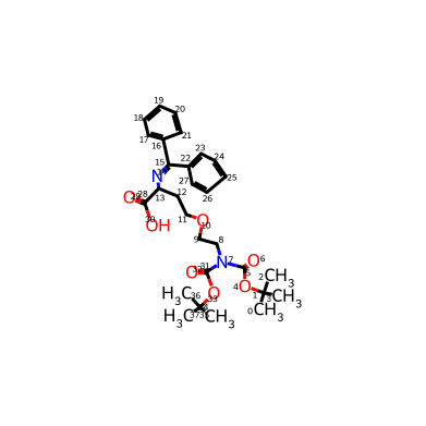 CC(C)(C)OC(=O)N(CCOCCC(N=C(c1ccccc1)c1ccccc1)C(=O)O)C(=O)OC(C)(C)C